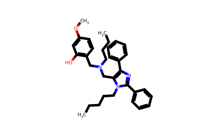 CCCCCn1c(-c2ccccc2)nc(-c2ccccc2)c1CN(CCCC)Cc1ccc(OC)cc1O